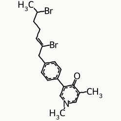 Cc1cn(C)cc(-c2ccc(CC(Br)=CCCC(C)Br)cc2)c1=O